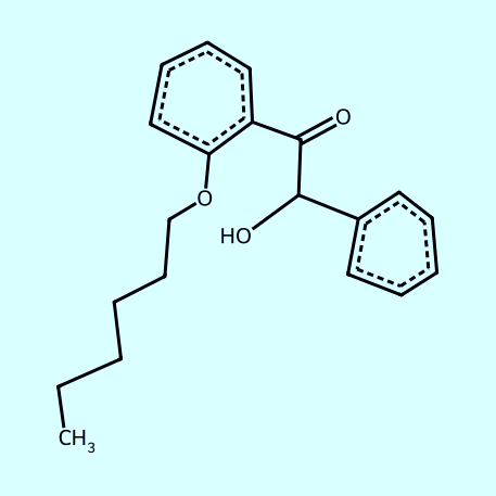 CCCCCCOc1ccccc1C(=O)C(O)c1ccccc1